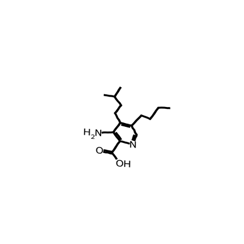 CCCCc1cnc(C(=O)O)c(N)c1CCC(C)C